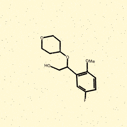 COc1ccc(F)cc1C(CO)OC1CCOCC1